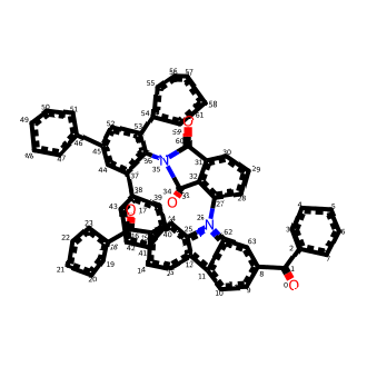 O=C(c1ccccc1)c1ccc2c3ccc(C(=O)c4ccccc4)cc3n(-c3cccc4c3C(=O)N(c3c(-c5ccccc5)cc(-c5ccccc5)cc3-c3ccccc3)C4=O)c2c1